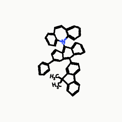 CC1(C)c2ccccc2-c2ccc(-c3c4ccccc4c(N4c5ccccc5C=Cc5ccccc54)c4ccc(-c5ccccc5)cc34)cc21